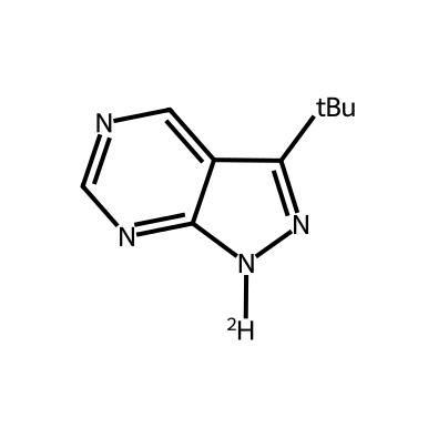 [2H]n1nc(C(C)(C)C)c2cncnc21